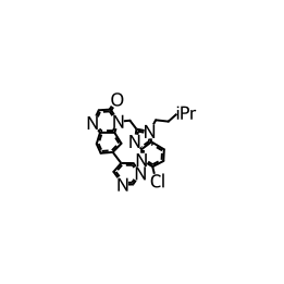 CC(C)CCn1c(Cn2c(=O)cnc3ccc(-c4cncnc4)cc32)nc2nc(Cl)ccc21